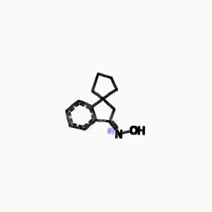 O/N=C1\CC2(CCCC2)c2ccccc21